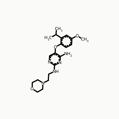 COc1ccc(Oc2cnc(NCCN3CCOCC3)nc2N)c(C(C)C)c1